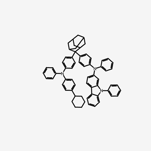 c1ccc(N(c2ccc(C3CCCCC3)cc2)c2ccc(C3(c4ccc(N(c5ccccc5)c5ccc6c7ccccc7n(-c7ccccc7)c6c5)cc4)C4CC5CC(C4)CC3C5)cc2)cc1